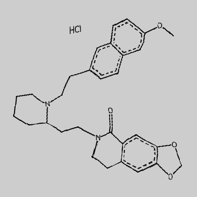 COc1ccc2cc(CCN3CCCCC3CCN3CCc4cc5c(cc4C3=O)OCO5)ccc2c1.Cl